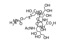 CC(=O)N[C@H](C(=O)N[C@@H](CC(=O)O)C(=O)N[C@H](C(=O)N[C@@H](CSSCCOC(=O)NN)C(=O)O)[C@@H](O)[C@H](O)[C@H](O)CO)[C@@H](O)[C@H](O)[C@H](O)CO